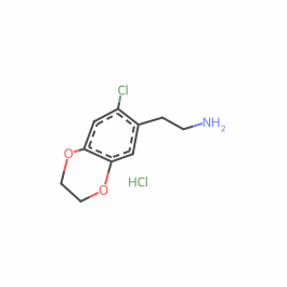 Cl.NCCc1cc2c(cc1Cl)OCCO2